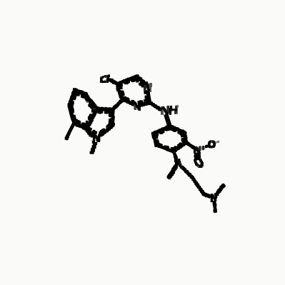 Cc1cccc2c(-c3nc(Nc4ccc(N(C)CCN(C)C)c([N+](=O)[O-])c4)ncc3Cl)cn(C)c12